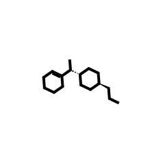 CCC[C@H]1CC[C@H](C(C)C2=CCCCC2)CC1